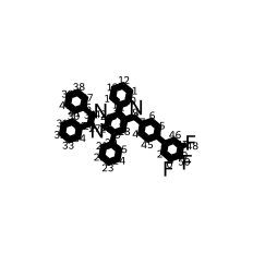 Fc1cc(-c2ccc(-c3nc4ccccc4c4c3cc(-c3ccccc3)c3nc(-c5ccccc5)c(-c5ccccc5)nc34)cc2)cc(F)c1F